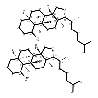 CC(C)CCC[C@@H](C)[C@H]1CC[C@H]2[C@@H]3CC[C@@H]4CCCC(O)[C@]4(C)[C@H]3CC[C@]12C.CC(C)CCC[C@@H](C)[C@H]1CC[C@H]2[C@@H]3CC[C@@H]4CCCC(O)[C@]4(C)[C@H]3CC[C@]12C